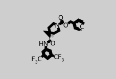 O=C(Nc1cc(C(F)(F)F)cc(C(F)(F)F)c1)[C@@H]1CC12CCN(C(=O)OCc1ccccc1)CC2